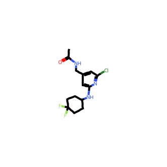 CC(=O)NCc1cc(Cl)nc(NC2CCC(F)(F)CC2)c1